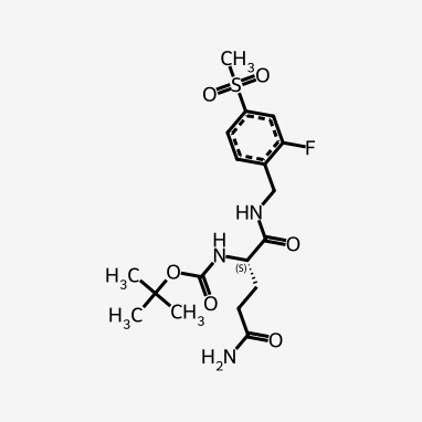 CC(C)(C)OC(=O)N[C@@H](CCC(N)=O)C(=O)NCc1ccc(S(C)(=O)=O)cc1F